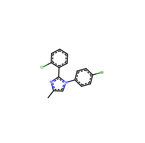 Cc1cn(-c2ccc(Br)cc2)c(-c2ccccc2Cl)n1